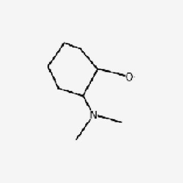 CN(C)C1CCCCC1[O]